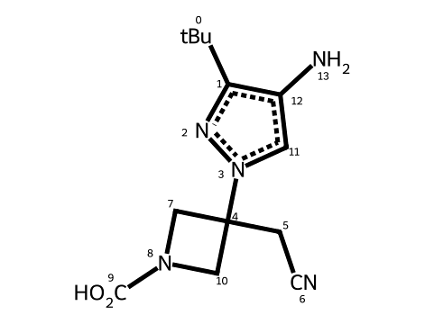 CC(C)(C)c1nn(C2(CC#N)CN(C(=O)O)C2)cc1N